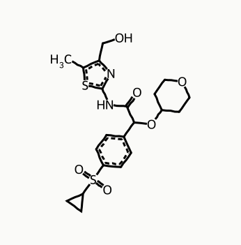 Cc1sc(NC(=O)C(OC2CCOCC2)c2ccc(S(=O)(=O)C3CC3)cc2)nc1CO